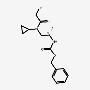 C[C@@H](CN(C(=O)CBr)C1CC1)NC(=O)OCc1ccccc1